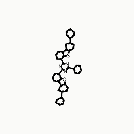 c1ccc(-c2ccc3oc4c(-c5nc(-c6ccccc6)nc(-c6cccc7c6sc6ccc(-c8ccccc8)cc67)n5)cccc4c3c2)cc1